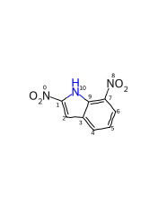 O=[N+]([O-])c1cc2cccc([N+](=O)[O-])c2[nH]1